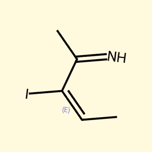 C/C=C(/I)C(C)=N